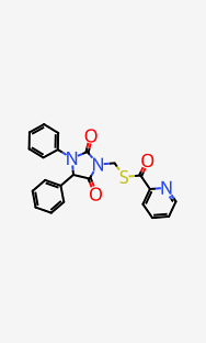 O=C(SCN1C(=O)C(c2ccccc2)N(c2ccccc2)C1=O)c1ccccn1